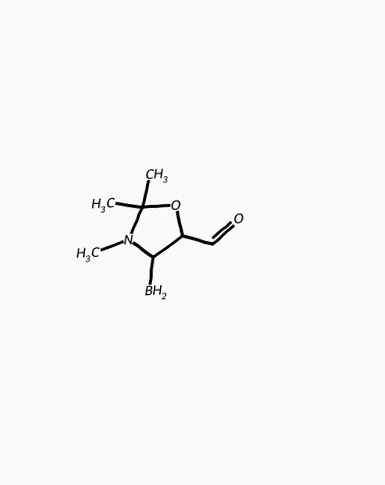 BC1C(C=O)OC(C)(C)N1C